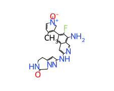 Cc1cc[n+]([O-])cc1-c1cc2cc(Nc3cc4n(n3)CC(=O)NCC4)ncc2c(N)c1F